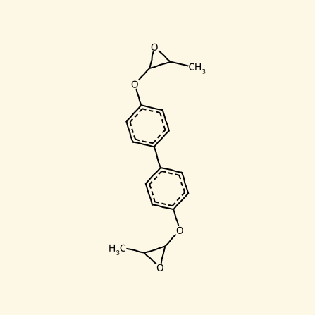 CC1OC1Oc1ccc(-c2ccc(OC3OC3C)cc2)cc1